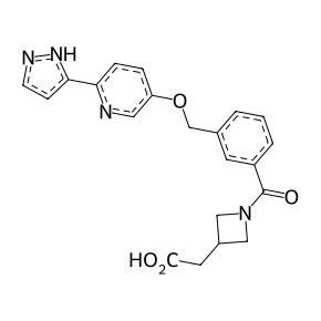 O=C(O)CC1CN(C(=O)c2cccc(COc3ccc(-c4ccn[nH]4)nc3)c2)C1